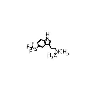 CN(C)CCc1c[nH]c2ccc(SC(F)(F)F)cc12